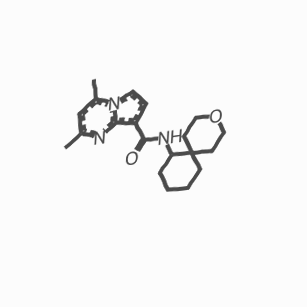 Cc1cc(C)n2ccc(C(=O)NC3CCCCC34CCOCC4)c2n1